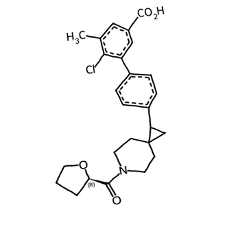 Cc1cc(C(=O)O)cc(-c2ccc(C3CC34CCN(C(=O)[C@H]3CCCO3)CC4)cc2)c1Cl